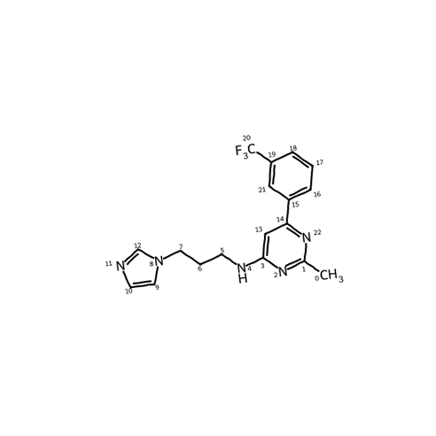 Cc1nc(NCCCn2ccnc2)cc(-c2cccc(C(F)(F)F)c2)n1